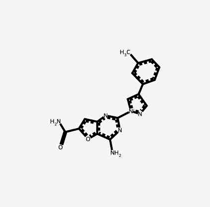 Cc1cccc(-c2cnn(-c3nc(N)c4oc(C(N)=O)cc4n3)c2)c1